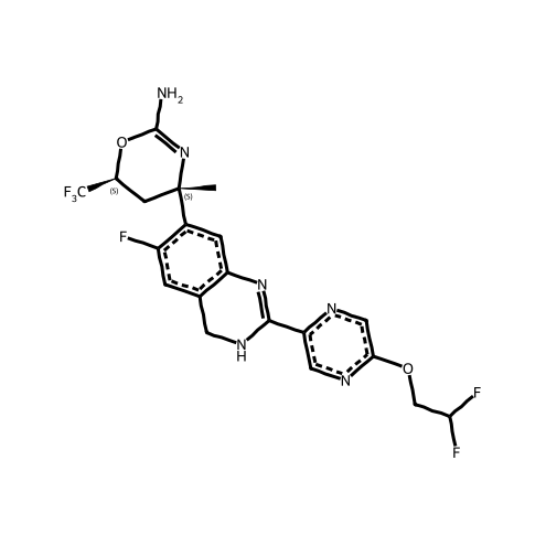 C[C@@]1(c2cc3c(cc2F)CNC(c2cnc(OCC(F)F)cn2)=N3)C[C@@H](C(F)(F)F)OC(N)=N1